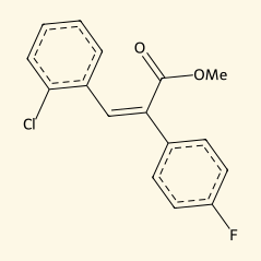 COC(=O)C(=Cc1ccccc1Cl)c1ccc(F)cc1